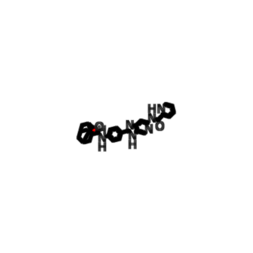 O=C(Nc1cc2nc(-c3ccc(NC(=O)C45CC6CC(C4)C(O)C(C6)C5)cc3)[nH]c2cn1)c1ccccn1